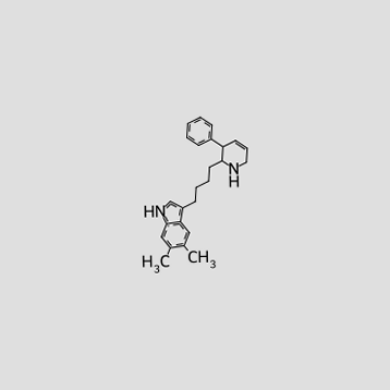 Cc1cc2[nH]cc(CCCCC3NCC=CC3c3ccccc3)c2cc1C